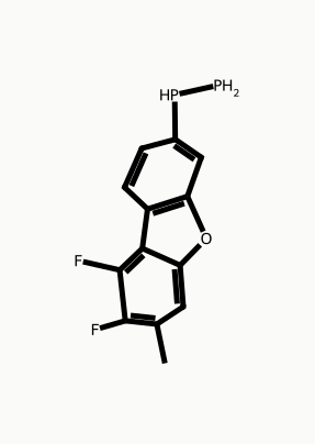 Cc1cc2oc3cc(PP)ccc3c2c(F)c1F